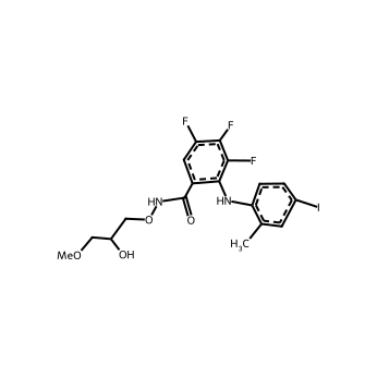 COCC(O)CONC(=O)c1cc(F)c(F)c(F)c1Nc1ccc(I)cc1C